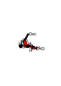 CCCCCCCCCCCCCCCCS(=O)(=O)NCC(C)(C)C(=O)C(Cl)(Oc1ccc(C(=O)Nc2ccc(NNC=O)cc2)cc1)C(=O)Nc1ccccc1